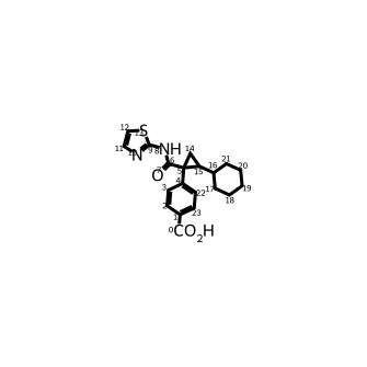 O=C(O)c1ccc(C2(C(=O)Nc3nccs3)CC2C2CCCCC2)cc1